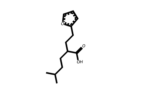 CC(C)CCC(CCc1ccco1)C(=O)O